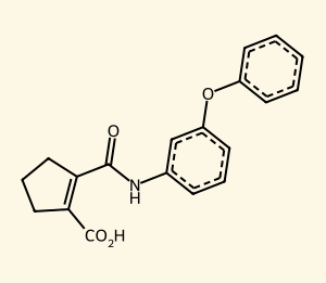 O=C(O)C1=C(C(=O)Nc2cccc(Oc3ccccc3)c2)CCC1